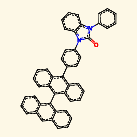 O=c1n(-c2ccccc2)c2ccccc2n1-c1ccc(-c2c3ccccc3c(-c3c4ccccc4cc4ccccc34)c3ccccc23)cc1